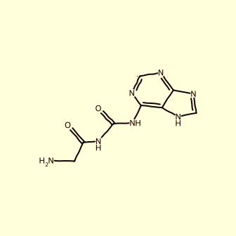 NCC(=O)NC(=O)Nc1n[c]nc2nc[nH]c12